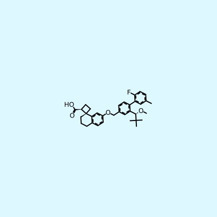 CO[C@@H](c1cc(COc2ccc3c(c2)[C@@]2(CCC3)CC[C@@H]2C(=O)O)ccc1-c1cc(C)ccc1F)C(C)(C)C